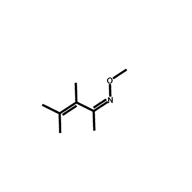 CO/N=C(/C)C(C)=C(C)C